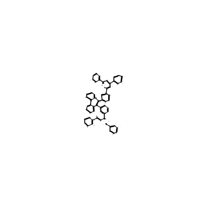 C=C(/N=C(\C=C(/C)c1ccccc1)c1cccc(-c2c(-c3cccc(-c4cc(-c5ccccc5)cc(-c5ccccc5)n4)c3)c3ccccc3c3ccccc23)c1)c1ccccc1